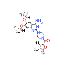 [2H]c1oc(C(=O)N2CCN(c3nc(N)c4cc(OC([2H])([2H])[2H])c(OC([2H])([2H])[2H])cc4n3)CC2)c([2H])c1[2H]